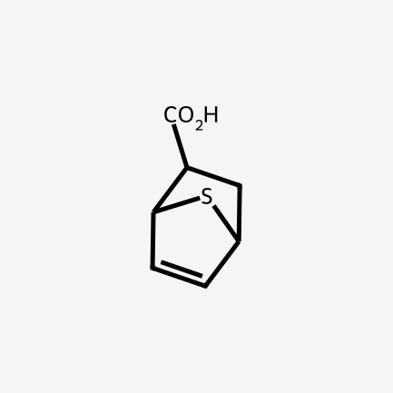 O=C(O)C1CC2C=CC1S2